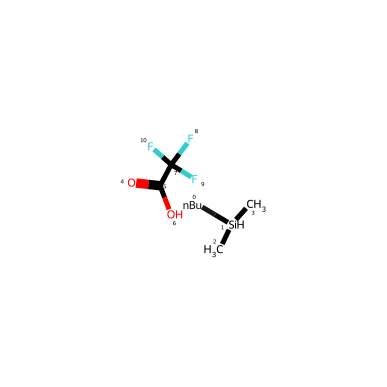 CCCC[SiH](C)C.O=C(O)C(F)(F)F